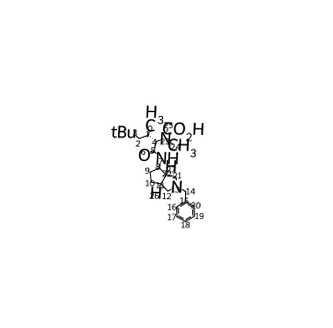 CC(CC(C)(C)C)[C@@H](C(=O)N[C@@H]1CC[C@H]2CN(Cc3ccccc3)C[C@H]21)N(C)C(=O)O